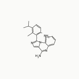 Cc1ccc(C(C)C)c(C)c1-c1ncc2c(N)nc3cccc(N)c3n12